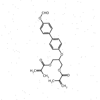 C=C(C)C(=O)OCC(COC(=O)C(=C)C)Oc1ccc(-c2ccc(OC=O)cc2)cc1